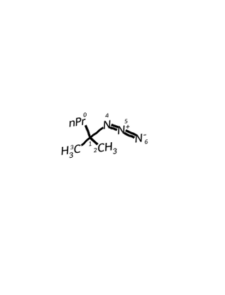 CCCC(C)(C)N=[N+]=[N-]